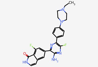 CCN1CCN(c2ccc(-c3nc(-c4cc(F)c5c(=O)[nH]ccc5c4)c(N)nc3F)cc2)CC1